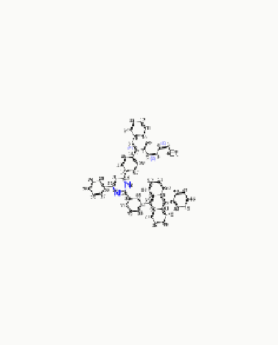 C=C(/C=C\C=C/CC)/C(=C\c1ccccc1)c1ccc(-c2cc(-c3ccccc3)nc(-c3cccc(-c4c5ccccc5c(-c5ccccc5)c5ccccc45)c3)n2)cc1